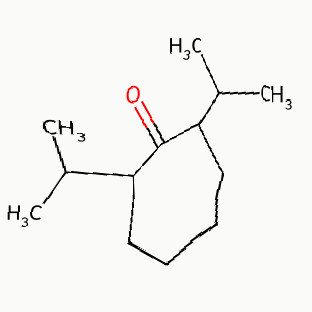 CC(C)C1CCCCC(C(C)C)C1=O